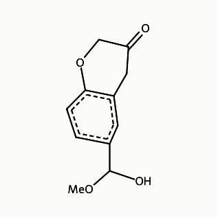 COC(O)c1ccc2c(c1)CC(=O)CO2